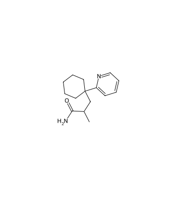 CC(CC1(c2ccccn2)CCCCC1)C(N)=O